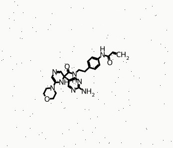 C=CC(=O)Nc1ccc(CCNC(=O)C2(c3cnc(N)nc3)C=NC=C(N3CCOCC3)N2)cc1